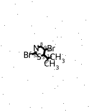 CC(C)C1SC(Br)=NCC1Br